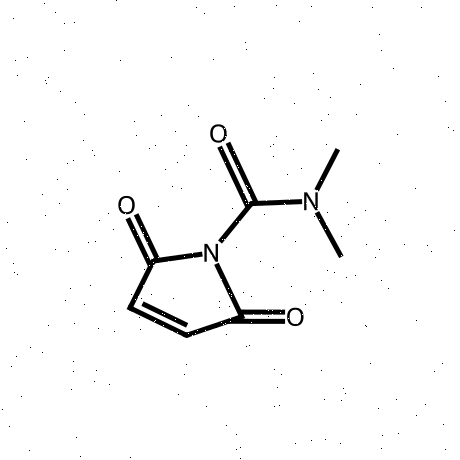 CN(C)C(=O)N1C(=O)C=CC1=O